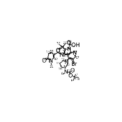 CN(C(=O)OC(C)(C)C)[C@@H]1CCCN(c2c(Br)cnc3c2c(NC(=O)c2ccc(=O)n(C)c2)c(C(C)(C)C)n3C(=O)O)C1